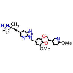 COc1ccc(C2COc3cc(Cn4cnc5cc(C#CC(C)(C)N)cnc54)cc(OC)c3O2)cn1